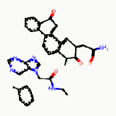 CC1C(=O)C(CC(N)=O)C=c2c1ccc1c2=CC(=O)c2ccccc2-1.CCNC(=O)Cn1cnc2ncncc21.Cc1ccccc1